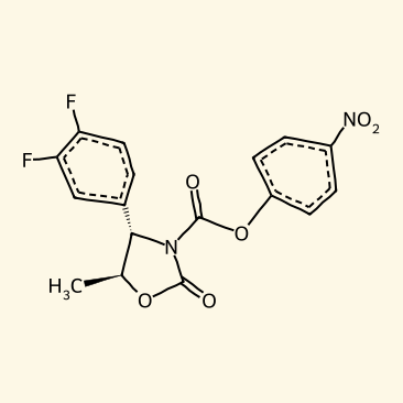 C[C@@H]1OC(=O)N(C(=O)Oc2ccc([N+](=O)[O-])cc2)[C@H]1c1ccc(F)c(F)c1